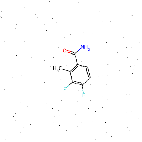 Cc1c(C(N)=O)ccc(F)c1F